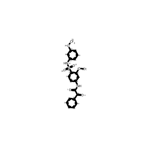 CCOc1cc(NC(=O)C(=O)c2ccccc2)ccc1S(=O)(=O)Nc1cccc(OC(F)(F)F)c1